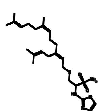 CC(C)=CCCC(C)=CCCC(=CCSCC(Nc1ncco1)S(N)(=O)=O)CC=C(C)C